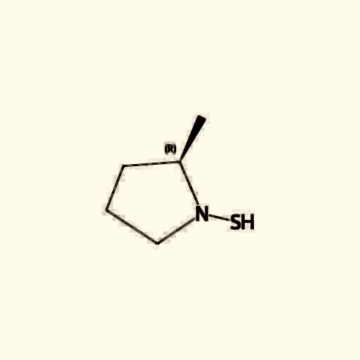 C[C@@H]1CCCN1S